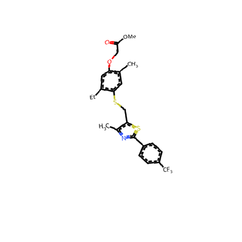 CCc1cc(OCC(=O)OC)c(C)cc1SCc1sc(-c2ccc(C(F)(F)F)cc2)nc1C